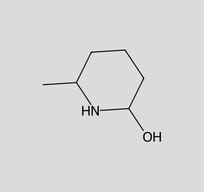 CC1CCCC(O)N1